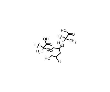 CC(C)(C)C(=O)O.CC(C)(C)C(=O)O.CCC(CO)CC(CC)CO